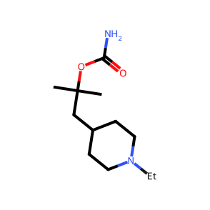 CCN1CCC(CC(C)(C)OC(N)=O)CC1